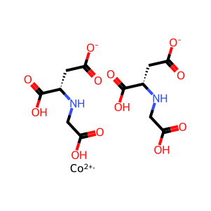 O=C([O-])C[C@H](NCC(=O)O)C(=O)O.O=C([O-])C[C@H](NCC(=O)O)C(=O)O.[Co+2]